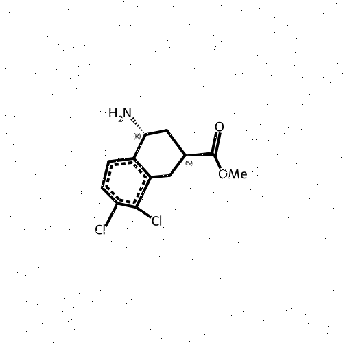 COC(=O)[C@H]1Cc2c(ccc(Cl)c2Cl)[C@H](N)C1